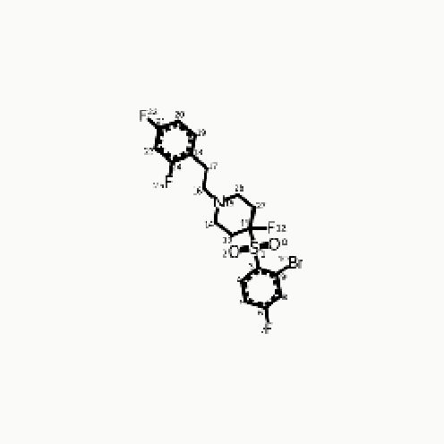 O=S(=O)(c1ccc(F)cc1Br)C1(F)CCN(CCc2ccc(F)cc2F)CC1